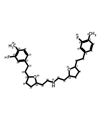 Cc1ccc(CCC2CCC(CCNCCC3CCC(CCc4ccc(C)c(F)c4)O3)O2)cc1F